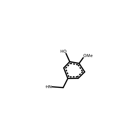 COc1ccc(C[NH])cc1O